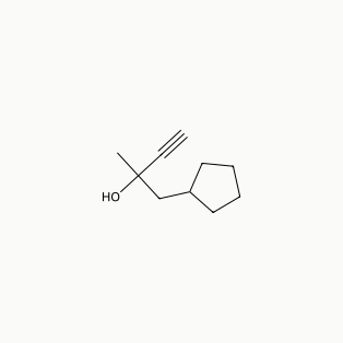 C#CC(C)(O)CC1CCCC1